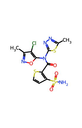 Cc1nnc(N(C(=O)c2sccc2S(N)(=O)=O)c2onc(C)c2Cl)s1